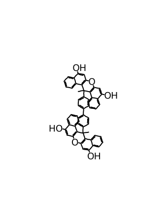 CC1(c2ccc(-c3ccc(C4(C)c5c(cc(O)c6ccccc56)Oc5cc(O)c6ccccc6c54)cc3)cc2)c2c(cc(O)c3ccccc23)Oc2cc(O)c3ccccc3c21